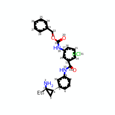 CC[C@]1(N)C[C@H]1c1cccc(NC(=O)c2cccc(NC(=O)OCc3ccccc3)c2)c1.Cl